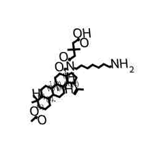 C=C(C)[C@@H]1CC[C@]2(C(=O)N(CCCCCCCN)C(=O)CC(C)(C)CC(=O)O)CC[C@]3(C)[C@H](CCC4[C@@]5(C)CC[C@H](OC(C)=O)C(C)(C)[C@@H]5CC[C@]43C)[C@@H]12